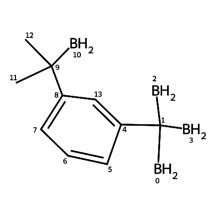 BC(B)(B)c1cccc(C(B)(C)C)c1